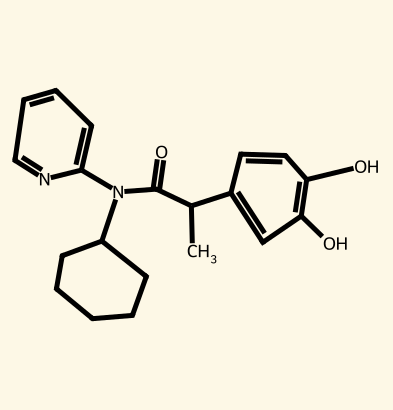 CC(C(=O)N(c1ccccn1)C1CCCCC1)c1ccc(O)c(O)c1